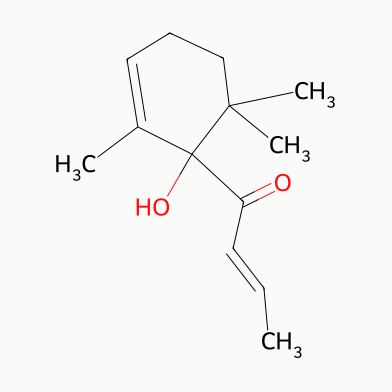 C/C=C/C(=O)C1(O)C(C)=CCCC1(C)C